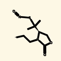 [CH2]CCN1C(=O)OC[C@H]1C(C)(C)SN=O